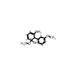 COc1cccc(C2C(N)=CC=CC2(O)OC)c1